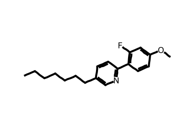 CCCCCCCc1ccc(-c2ccc(OC)cc2F)nc1